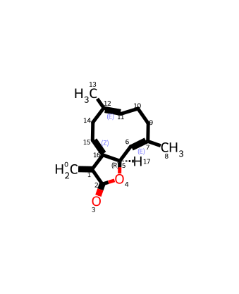 C=C1C(=O)O[C@@H]2/C=C(\C)CC/C=C(\C)C/C=C/12